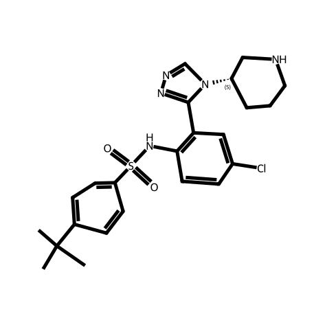 CC(C)(C)c1ccc(S(=O)(=O)Nc2ccc(Cl)cc2-c2nncn2[C@H]2CCCNC2)cc1